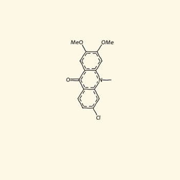 COc1cc2c(=O)c3ccc(Cl)cc3n(C)c2cc1OC